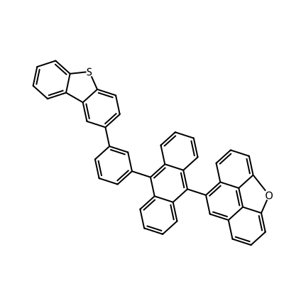 c1cc(-c2ccc3sc4ccccc4c3c2)cc(-c2c3ccccc3c(-c3cc4cccc5oc6cccc3c6c45)c3ccccc23)c1